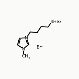 CCCCCCCCCC[n+]1ccn(C)c1.[Br-]